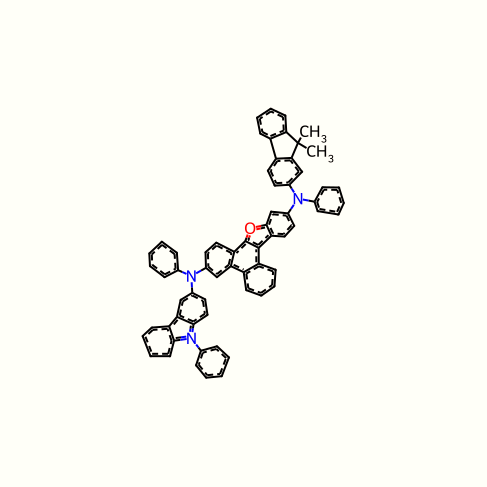 CC1(C)c2ccccc2-c2ccc(N(c3ccccc3)c3ccc4c(c3)oc3c5ccc(N(c6ccccc6)c6ccc7c(c6)c6ccccc6n7-c6ccccc6)cc5c5ccccc5c43)cc21